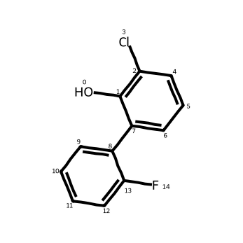 Oc1c(Cl)cccc1-c1ccccc1F